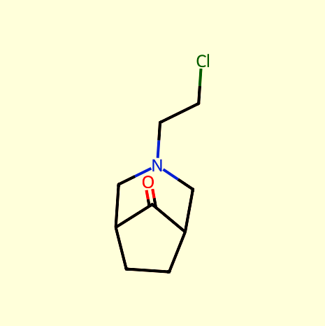 O=C1C2CCC1CN(CCCl)C2